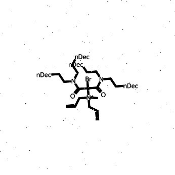 C=CC[N+](C)(CC=C)C(Br)(C(=O)N(CCCCCCCCCCCC)CCCCCCCCCCCC)C(=O)N(CCCCCCCCCCCC)CCCCCCCCCCCC